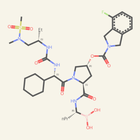 CCC[C@H](NC(=O)[C@@H]1C[C@@H](OC(=O)N2Cc3cccc(F)c3C2)CN1C(=O)[C@@H](NC(=O)N[C@@H](CC)CN(C)S(C)(=O)=O)C1CCCCC1)B(O)O